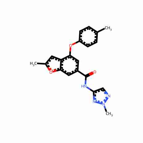 Cc1ccc(Oc2cc(C(=O)Nc3cnn(C)n3)cc3oc(C)cc23)cc1